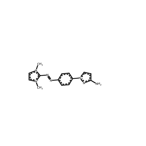 Cn1cc[n+](C)c1N=Nc1ccc(-n2ccc(N)n2)cc1